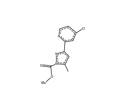 Cc1cc(-c2cc(Cl)ccn2)nn1C(=O)OC(C)(C)C